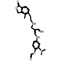 Cc1c(CCNC/C(C=N)=C/Nc2ccc(OC=O)c(N(C)C)c2)ccc2c1COC2=O